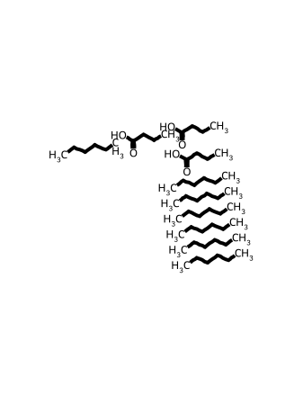 CCCC(=O)O.CCCC(=O)O.CCCC(=O)O.CCCCCC.CCCCCC.CCCCCC.CCCCCC.CCCCCC.CCCCCC.CCCCCC